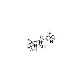 CCOc1cc2c(nc1C(=O)NC)/C(=N/Cl)N(CC(=O)c1cc3c(c(C(C)(C)C)c1)OCCN3C)C2